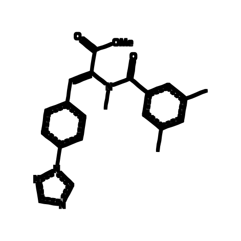 COC(=O)C(=Cc1ccc(-n2cncn2)cc1)N(C)C(=O)c1cc(C)cc(C)c1